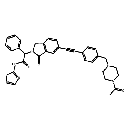 CC(=O)N1CCN(Cc2ccc(C#Cc3ccc4c(c3)C(=O)N(C(C(=O)Nc3nccs3)c3ccccc3)C4)cc2)CC1